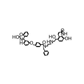 O=C(O)NC(c1ccccc1)c1cccc(OCc2ccc(C(=O)N(CCCNC[C@@H](O)c3ccc(O)c4[nH]c(=O)ccc34)Cc3ccccc3)cc2)c1